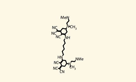 CNCCN(C)C1CC(NCCCCCCNC2=C(C#N)C(=C(C#N)C#N)CC(N(C)CCNC)C2)=C(C#N)C(=C(C#N)C#N)C1